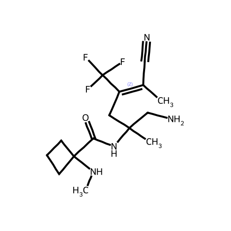 CNC1(C(=O)NC(C)(CN)C/C(=C(\C)C#N)C(F)(F)F)CCC1